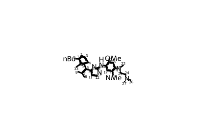 CCCCc1cccc(C(=C(C)C)c2ccnc(Nc3cc(NC)c(N(C)CCN(C)C)cc3OC)n2)c1C